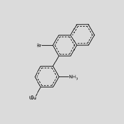 CC(C)(C)c1ccc(-c2cc3ccccc3cc2Br)c(N)c1